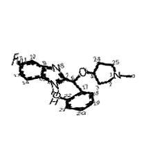 CN1CCC(OC(c2nc3cc(F)ccc3[nH]2)c2ccccc2O)CC1